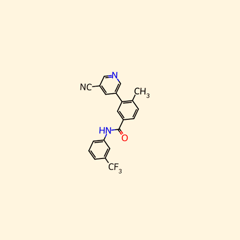 Cc1ccc(C(=O)Nc2cccc(C(F)(F)F)c2)cc1-c1cncc(C#N)c1